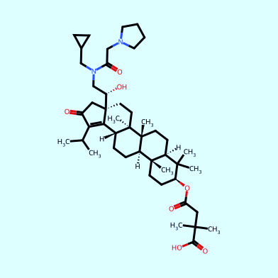 CC(C)C1=C2[C@H]3CC[C@@H]4[C@@]5(C)CC[C@H](OC(=O)CC(C)(C)C(=O)O)C(C)(C)[C@@H]5CC[C@@]4(C)[C@]3(C)CC[C@@]2([C@@H](O)CN(CC2CC2)C(=O)CN2CCCC2)CC1=O